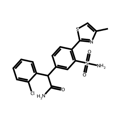 Cc1csc(-c2ccc(C(C(N)=O)c3ccccc3Cl)cc2S(N)(=O)=O)n1